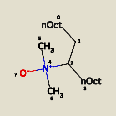 CCCCCCCCCC(CCCCCCCC)[N+](C)(C)[O-]